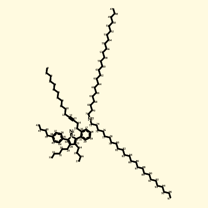 CCCCCCCCCCCCC#CCCc1ccccc1C1=C(CCCC)C(CCCCC)=C(c2ccc(CCCC)cc2)[N+]1=[N-].CCCCCCCCCCCCCCCCCCCCCCCC[CH2][Ni][CH2]CCCCCCCCCCCCCCCCCCCCCCCC